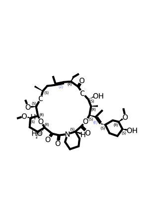 CC[C@@H]1/C=C(/C)C[C@H](C)C[C@H](OC)[C@H]2O[C@@](O)(C(=O)C(=O)N3CCCC[C@H]3C(=O)O[C@H](/C(C)=C/[C@H]3CC[C@H](O)[C@H](OC)C3)[C@H](C)[C@@H](O)CC1=O)[C@H](C)C[C@@H]2OC